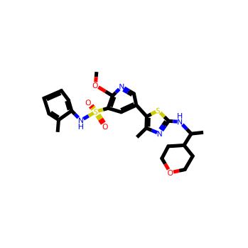 COc1ncc(-c2sc(NC(C)C3CCOCC3)nc2C)cc1S(=O)(=O)Nc1ccccc1C